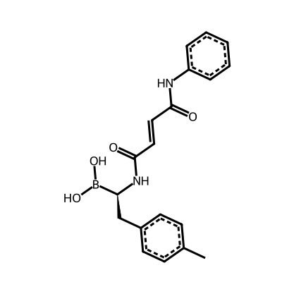 Cc1ccc(C[C@H](NC(=O)/C=C/C(=O)Nc2ccccc2)B(O)O)cc1